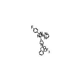 O=C(Cc1ccccc1C(F)(F)F)N1CC2C(C1)C2c1nc(-c2ccc(F)cc2)nn1-c1ncccn1